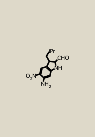 CC(C)CC1c2cc([N+](=O)[O-])c(N)cc2NC1C=O